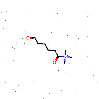 C[N+](C)(C)C(=O)CCCCC=O